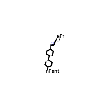 CCCCC[C@H]1CC[C@H]([C@H]2CC[C@H](/C=C/COCCC)CC2)CC1